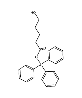 O=C(CCCCO)O[Si](c1ccccc1)(c1ccccc1)c1ccccc1